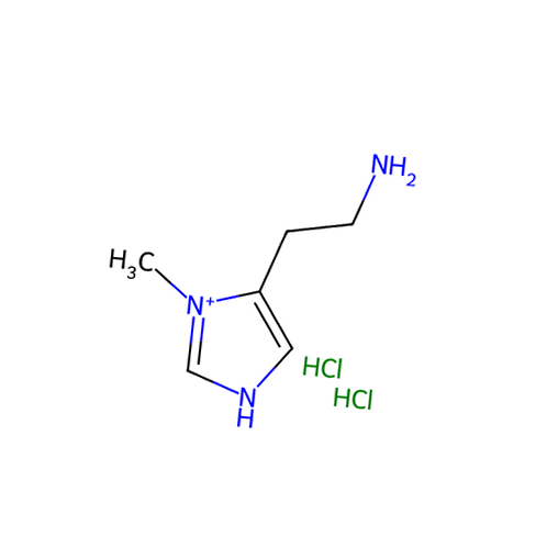 C[n+]1c[nH]cc1CCN.Cl.Cl